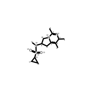 CC1=NC(C)C(C)=C2CC(N(C)S(=O)(=O)C3CC3)CN12